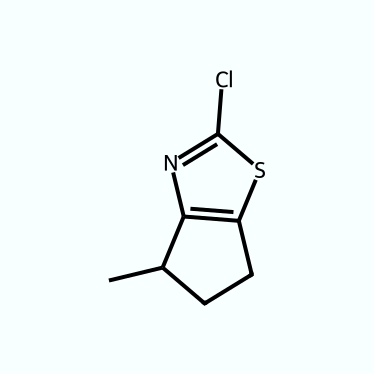 CC1CCc2sc(Cl)nc21